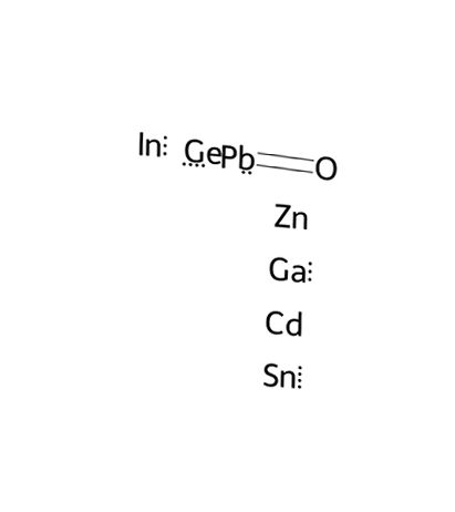 [Cd].[Ga].[Ge].[In].[O]=[Pb].[Sn].[Zn]